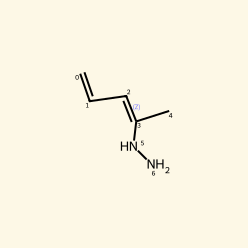 C=C/C=C(/C)NN